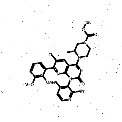 COc1cccc(-c2nc3c(cc2Cl)c(N2CCN(C(=O)OC(C)(C)C)CC2C)nc(=O)n3-c2c(C)ccnc2C(C)C)c1OC